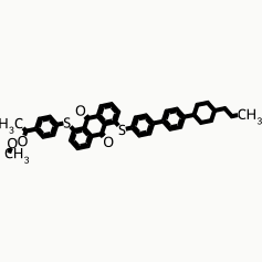 CCCC1CCC(c2ccc(-c3ccc(Sc4cccc5c4C(=O)c4cccc(Sc6ccc(C(C)OOC)cc6)c4C5=O)cc3)cc2)CC1